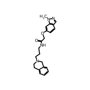 Cn1ncc2ccc(OCC(=O)NCCCN3CCc4ccccc4C3)cc21